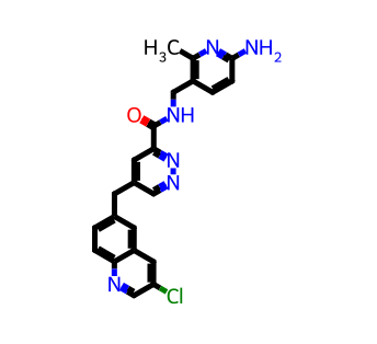 Cc1nc(N)ccc1CNC(=O)c1cc(Cc2ccc3ncc(Cl)cc3c2)cnn1